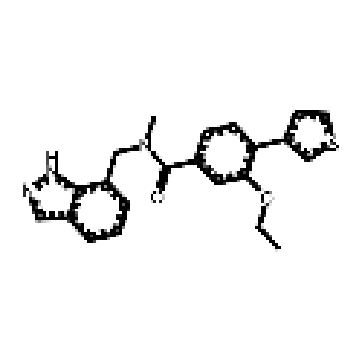 CCOc1cc(C(=O)N(C)Cc2cccc3cn[nH]c23)ccc1-c1ccsc1